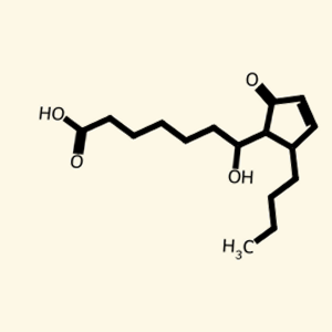 CCCCC1C=CC(=O)C1C(O)CCCCCC(=O)O